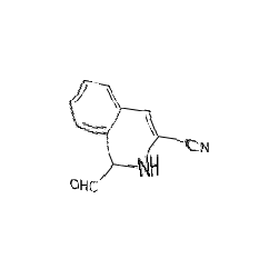 N#CC1=Cc2ccccc2C(C=O)N1